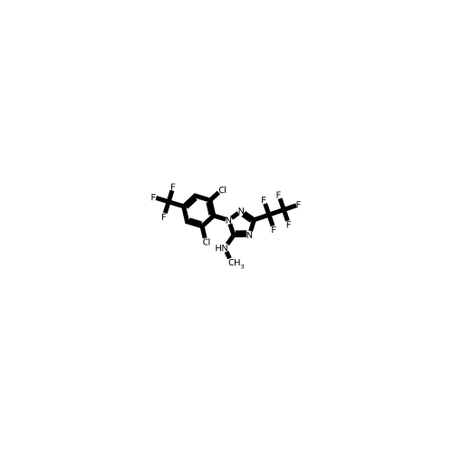 CNc1nc(C(F)(F)C(F)(F)F)nn1-c1c(Cl)cc(C(F)(F)F)cc1Cl